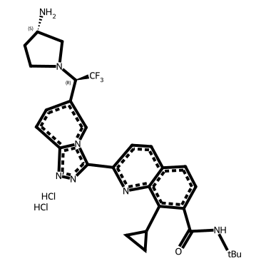 CC(C)(C)NC(=O)c1ccc2ccc(-c3nnc4ccc([C@@H](N5CC[C@H](N)C5)C(F)(F)F)cn34)nc2c1C1CC1.Cl.Cl